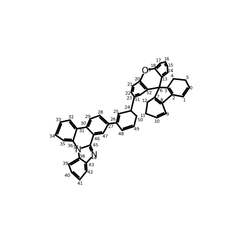 C1=CC2=C(CC1)C1(C3=C2C=CCC3)c2ccccc2Oc2ccc(C3C=C(c4ccc5c6ccccc6n6c7ccccc7nc6c5c4)C=CC3)cc21